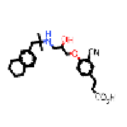 CC(C)(Cc1ccc2c(c1)CCCC2)NCC(O)COc1ccc(CCC(=O)O)cc1C#N